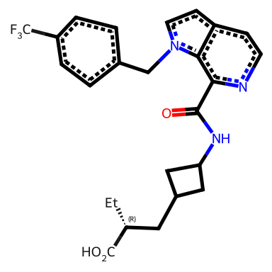 CC[C@H](CC1CC(NC(=O)c2nccc3ccn(Cc4ccc(C(F)(F)F)cc4)c23)C1)C(=O)O